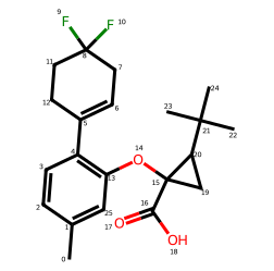 Cc1ccc(C2=CCC(F)(F)CC2)c(OC2(C(=O)O)CC2C(C)(C)C)c1